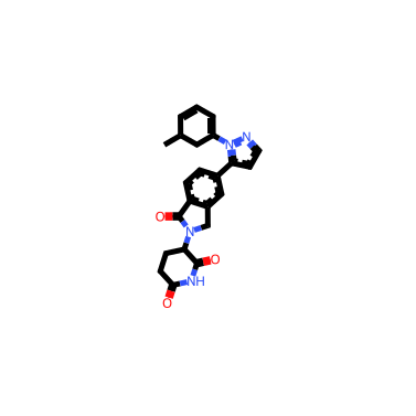 CC1C=CC=C(n2nccc2-c2ccc3c(c2)CN(C2CCC(=O)NC2=O)C3=O)C1